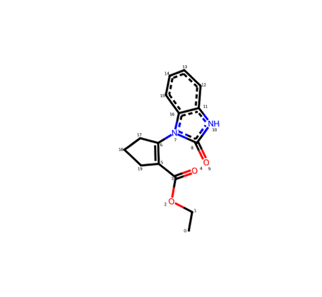 CCOC(=O)C1=C(n2c(=O)[nH]c3ccccc32)CCC1